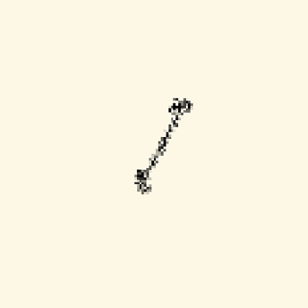 O=[N+]([O-])C(CCCCCCCCCCCOCCCCCCCCCCCC(c1ccccc1)[N+](=O)[O-])c1ccccc1